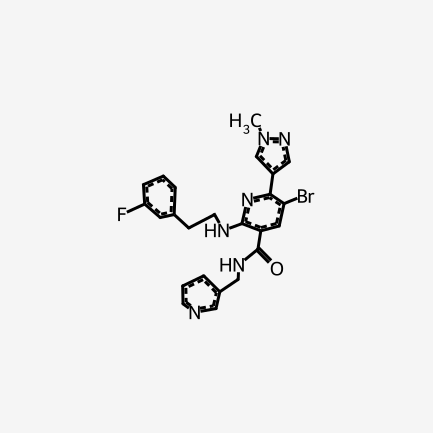 Cn1cc(-c2nc(NCCc3cccc(F)c3)c(C(=O)NCc3cccnc3)cc2Br)cn1